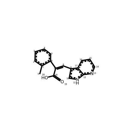 Cc1ccccc1C(=Cc1c[nH]c2ncccc12)C(=O)O